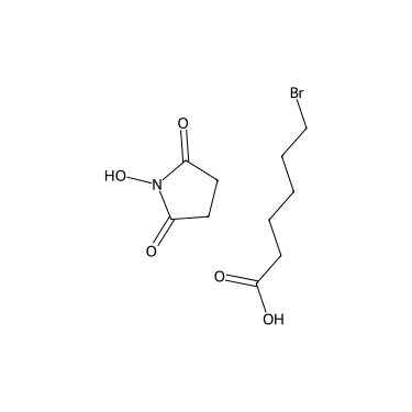 O=C(O)CCCCCBr.O=C1CCC(=O)N1O